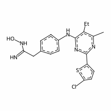 CCc1c(C)nc(-c2ccc(Cl)s2)nc1Nc1ccc(CC(=N)NO)cc1